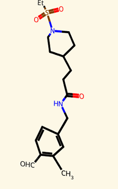 CCS(=O)(=O)N1CCC(CCC(=O)NCc2ccc(C=O)c(C)c2)CC1